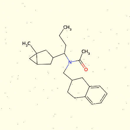 CCCC(C1CC2CC2(C)C1)N(CC1CCc2ccccc2C1)C(C)=O